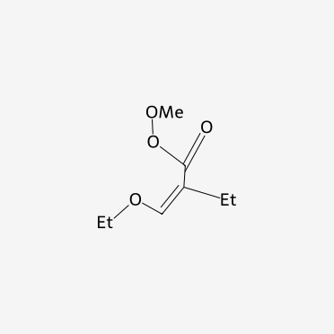 CCOC=C(CC)C(=O)OOC